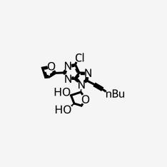 CCCCC#Cc1nc2c(Cl)nc(-c3ccco3)nc2n1[C@@H]1OC[C@@H](O)[C@H]1O